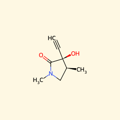 C#C[C@@]1(O)C(=O)N(C)C[C@@H]1C